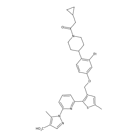 CCc1cc(OCc2cc(C)sc2-c2cccc(-n3ncc(C(=O)O)c3C)n2)ccc1C1CCN(C(=O)CC2CC2)CC1